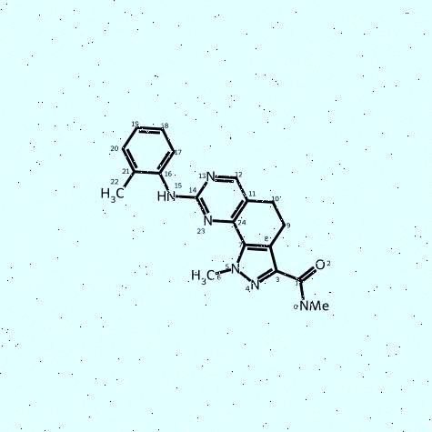 CNC(=O)c1nn(C)c2c1CCc1cnc(Nc3ccccc3C)nc1-2